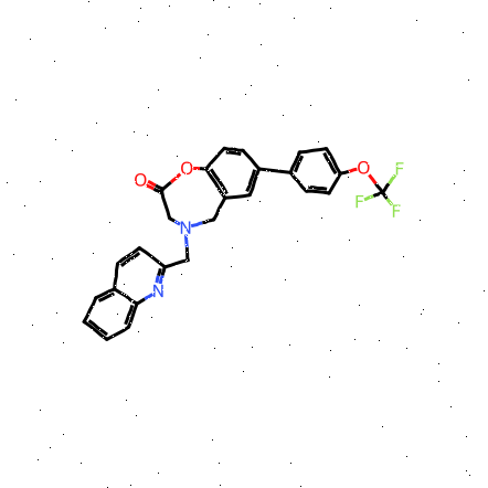 O=C1CN(Cc2ccc3ccccc3n2)Cc2cc(-c3ccc(OC(F)(F)F)cc3)ccc2O1